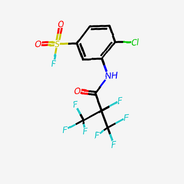 O=C(Nc1cc(S(=O)(=O)F)ccc1Cl)C(F)(C(F)(F)F)C(F)(F)F